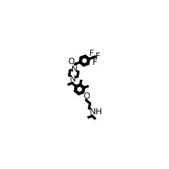 Cc1c(OCCCNC(C)C)ccc(C(C)N2CCN(C(=O)c3ccc(C(F)(F)F)cc3)CC2)c1C